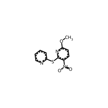 COc1ccc([N+](=O)[O-])c(Sc2ccccn2)n1